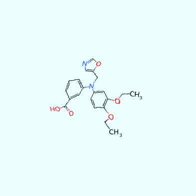 CCOc1ccc(N(Cc2cnco2)c2cccc(C(=O)O)c2)cc1OCC